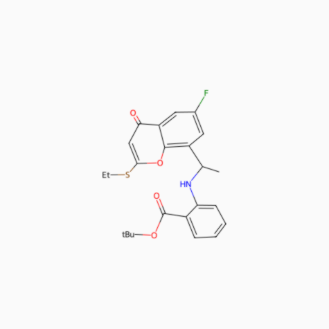 CCSc1cc(=O)c2cc(F)cc(C(C)Nc3ccccc3C(=O)OC(C)(C)C)c2o1